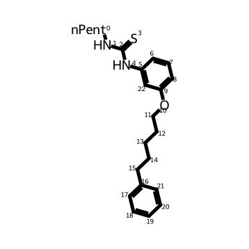 CCCCCNC(=S)Nc1cccc(OCCCCCc2ccccc2)c1